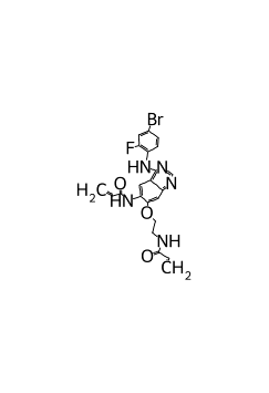 C=CC(=O)NCCOc1cc2ncnc(Nc3ccc(Br)cc3F)c2cc1NC(=O)C=C